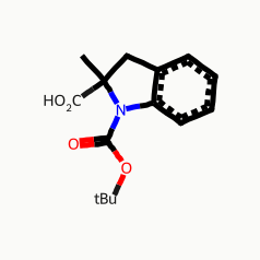 CC(C)(C)OC(=O)N1c2ccccc2CC1(C)C(=O)O